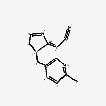 Cc1cnc(CN2CC=NC2=NC#N)cn1